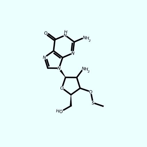 CSOC1C(N)[C@H](n2cnc3c(=O)[nH]c(N)nc32)O[C@@H]1CO